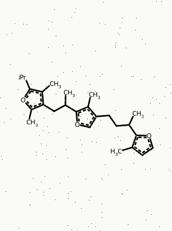 Cc1ccoc1C(C)CCc1coc(C(C)Cc2c(C)oc(C(C)C)c2C)c1C